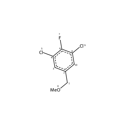 COCc1cc(Cl)c(F)c(Cl)c1